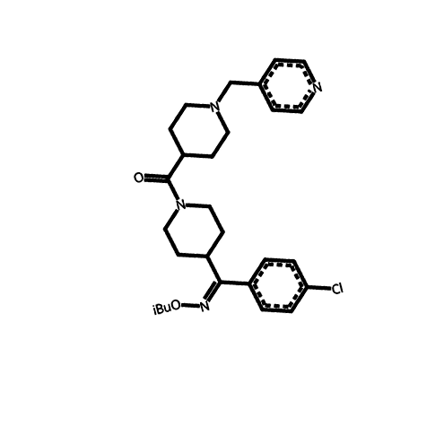 CC(C)CON=C(c1ccc(Cl)cc1)C1CCN(C(=O)C2CCN(Cc3ccncc3)CC2)CC1